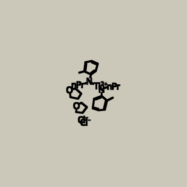 C1CCOC1.C1CCOC1.CCC[N]([Ti+2][N](CCC)c1ccccc1C)c1ccccc1C.[Cl-].[Cl-]